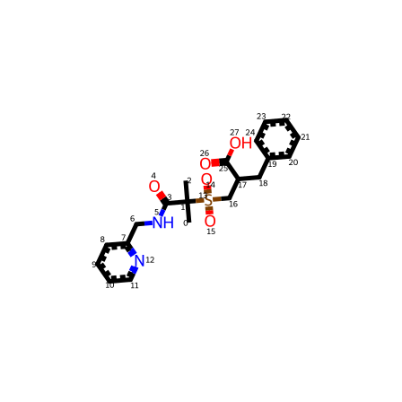 CC(C)(C(=O)NCc1ccccn1)S(=O)(=O)CC(Cc1ccccc1)C(=O)O